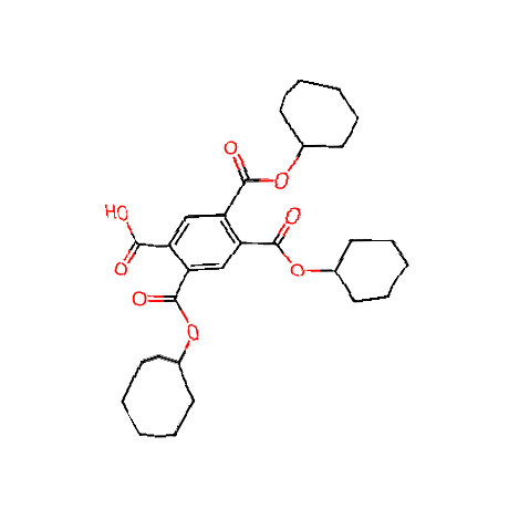 O=C(O)c1cc(C(=O)OC2CCCCC2)c(C(=O)OC2CCCCC2)cc1C(=O)OC1CCCCC1